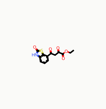 CCOC(=O)C(=O)CC(=O)c1cccc2[nH]c(=O)sc12